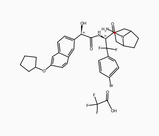 NC1CC2CCC(C1)N2C(=O)[C@H](NC(=O)[C@H](O)c1ccc2cc(OC3CCCC3)ccc2c1)C(F)(F)c1ccc(Br)cc1.O=C(O)C(F)(F)F